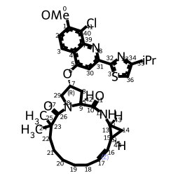 COc1ccc2c(O[C@@H]3C[C@H]4C(=O)N[C@@H]5C[C@H]5/C=C\CCCCCC(C)(C)C(=O)N4C3)cc(-c3nc(C(C)C)cs3)nc2c1Cl